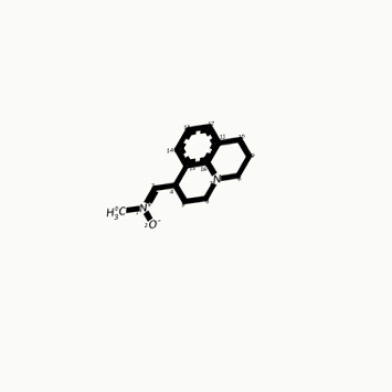 C[N+]([O-])=CC1CCN2CCCc3cccc1c32